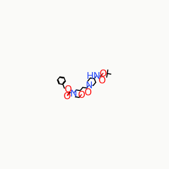 CC(C)(C)OC(=O)NC1CCN(C(=O)CC2CN(C(=O)OCc3ccccc3)CCO2)CC1